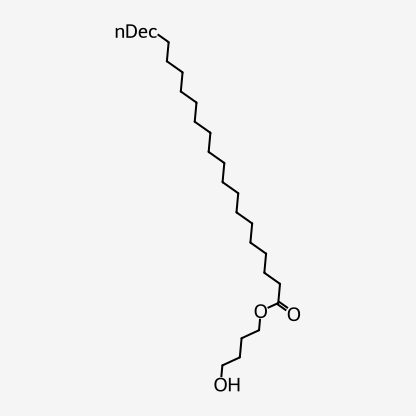 CCCCCCCCCCCCCCCCCCCCCCCCCCCC(=O)OCCCCO